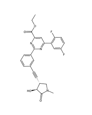 CCOC(=O)c1cc(-c2cc(F)ccc2F)nc(-c2cccc(C#C[C@@H]3CN(C)C(=O)[C@H]3O)c2)n1